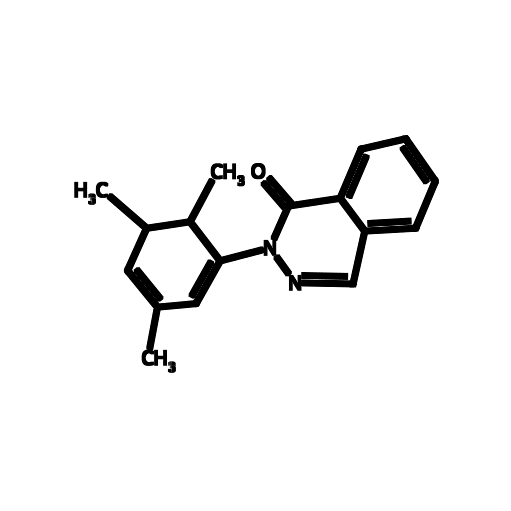 CC1=CC(C)C(C)C(n2ncc3ccccc3c2=O)=C1